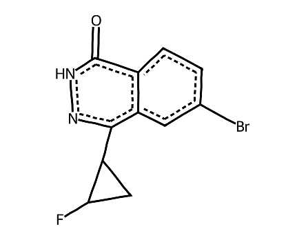 O=c1[nH]nc(C2CC2F)c2cc(Br)ccc12